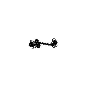 O=C(CCCCCCCCCCN1c2ccccc2C(C(=O)Oc2c(Br)cccc2Br)c2ccccc21)ON1C(=O)CCC1=O